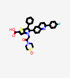 O=C(O)c1cc2c(s1)c(-c1ccccc1)c(-c1ccc3nc(-c4ccc(F)cc4)ccc3c1)n2CC(=O)N1CC[S+]([O-])CC1